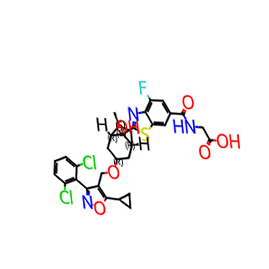 C[C@H]1C[C@@H]2C[C@@H](OCc3c(-c4c(Cl)cccc4Cl)noc3C3CC3)C[C@H]1[C@]2(O)c1nc2c(F)cc(C(=O)NCC(=O)O)cc2s1